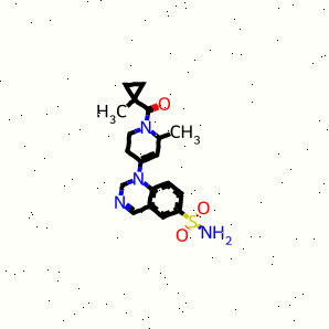 CC1C=C(N2CN=Cc3cc(S(N)(=O)=O)ccc32)CCN1C(=O)C1(C)CC1